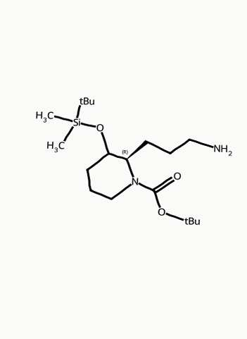 CC(C)(C)OC(=O)N1CCCC(O[Si](C)(C)C(C)(C)C)[C@H]1CCCN